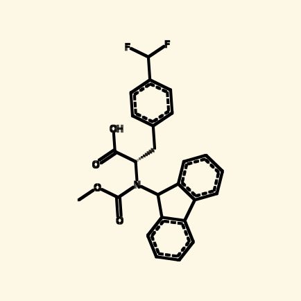 COC(=O)N(C1c2ccccc2-c2ccccc21)[C@@H](Cc1ccc(C(F)F)cc1)C(=O)O